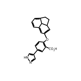 O=C(O)c1cc(-c2cn[nH]c2)ccc1OC1=CC2CCC3=CC=CC(=C1)C32